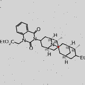 CCOC(=O)Cn1c(=O)n(C2C[C@@H]3CC[C@@H](C)[C@H](C2)N3C2C[C@@H]3CC(CC)[C@@H](C)[C@H](C2)C3)c(=O)c2ccccc21